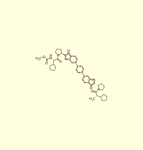 COC(=O)N[C@H](C(=O)N1CCC[C@H]1c1nc2cc(-c3ccc(-c4ccc5[nH]c([C@@H]6CCCN6C(=O)[C@@H](C)C6CCCC6)nc5c4)cc3)ccc2[nH]1)C1CCCC1